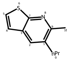 CCCc1cc2ccsc2nc1C